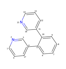 c1cncc(-c2ccccc2-c2cccnc2)c1